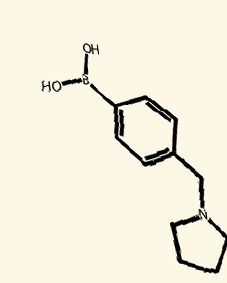 OB(O)c1ccc(CN2CCCC2)cc1